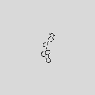 c1cc(-c2ccc3ncsc3c2)cc(-c2ccc3c4c(cccc24)-c2ccccc2-3)c1